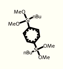 CCCC[Si](OC)(OC)c1ccc([Si](CCCC)(OC)OC)cc1